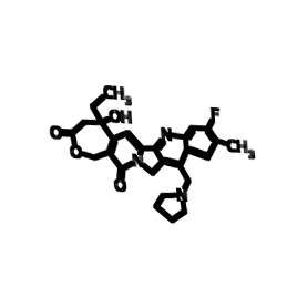 CCC1(O)CC(=O)OCc2c1cc1n(c2=O)Cc2c-1nc1cc(F)c(C)cc1c2CN1CCCC1